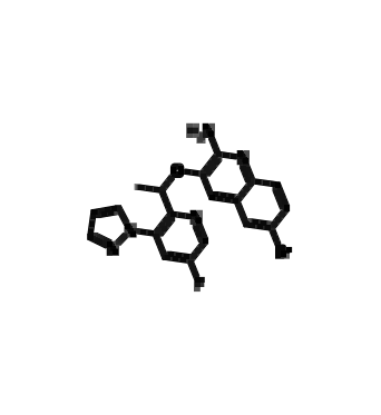 CC(Oc1cc2cc(Br)ccc2nc1N)c1ncc(F)cc1-n1cccn1